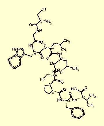 CC(C)C[C@H](NC(=O)[C@H](Cc1c[nH]c2ccccc12)NC(=O)CNC(=O)[C@@H](N)CS)C(=O)N[C@@H](CC(C)C)C(=O)N[C@@H](CS)C(=O)N1CCC[C@H]1C(=O)N[C@@H](Cc1ccccc1)C(=O)N[C@H](C(=O)O)C(C)C